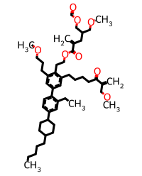 C=C(COC)C(=O)CCCCc1cc(-c2ccc(C3CCC(CCCCC)CC3)cc2CC)cc(CCCOC)c1CCOC(=O)C(=C)CC(COC)COC=O